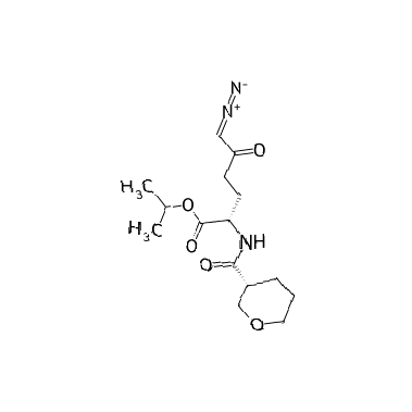 CC(C)OC(=O)[C@H](CCC(=O)C=[N+]=[N-])NC(=O)[C@@H]1CCCOC1